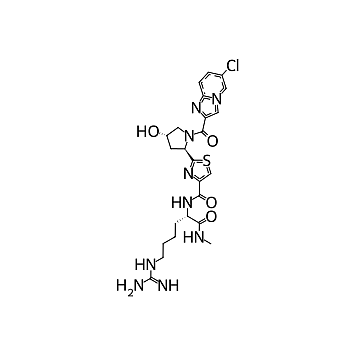 CNC(=O)[C@H](CCCCNC(=N)N)NC(=O)c1csc([C@H]2C[C@H](O)CN2C(=O)c2cn3cc(Cl)ccc3n2)n1